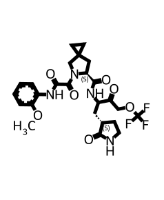 COc1ccccc1NC(=O)C(=O)N1CC2(CC2)C[C@H]1C(=O)NC(C[C@@H]1CCNC1=O)C(=O)COC(F)(F)F